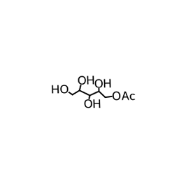 CC(=O)OCC(O)C(O)C(O)CO